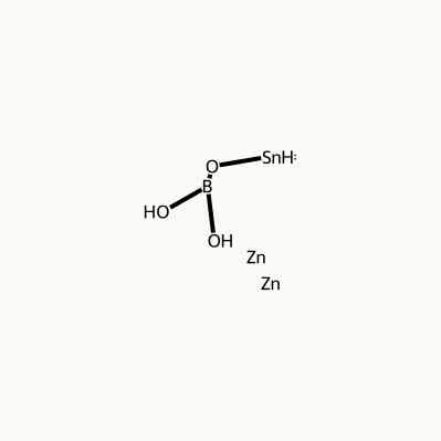 OB(O)[O][SnH].[Zn].[Zn]